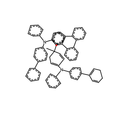 CC1(c2ccccc2-c2ccccc2-c2ccccc2-c2ccc(N(c3ccccc3)c3ccc(-c4ccccc4)cc3)cc2)C=CC(N(c2ccccc2)c2ccc(C3=CCCC=C3)cc2)=CC1